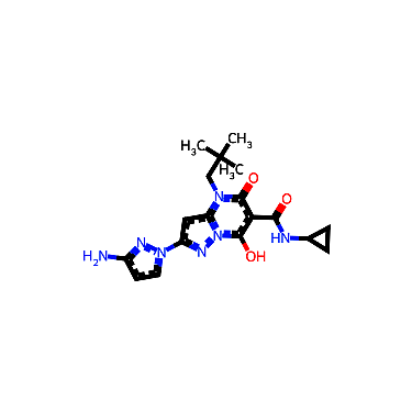 CC(C)(C)Cn1c(=O)c(C(=O)NC2CC2)c(O)n2nc(-n3ccc(N)n3)cc12